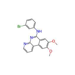 COc1cc2c(Nc3cccc(Br)c3)nc3ncccc3c2cc1OC